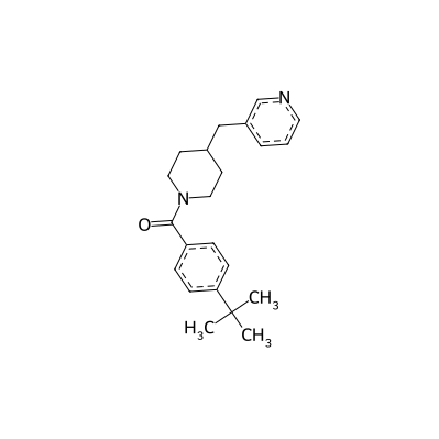 CC(C)(C)c1ccc(C(=O)N2CCC(Cc3cccnc3)CC2)cc1